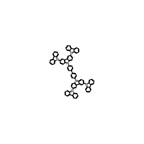 c1ccc2c(c1)c1ccccc1n2-c1ccc2c(c1)c1cc(-n3c4ccccc4c4ccccc43)ccc1n2-c1ccc(-c2ccc(-n3c4ccc(-n5c6ccccc6c6ccccc65)cc4c4cc(-n5c6ccccc6c6ccccc65)ccc43)cc2)cc1